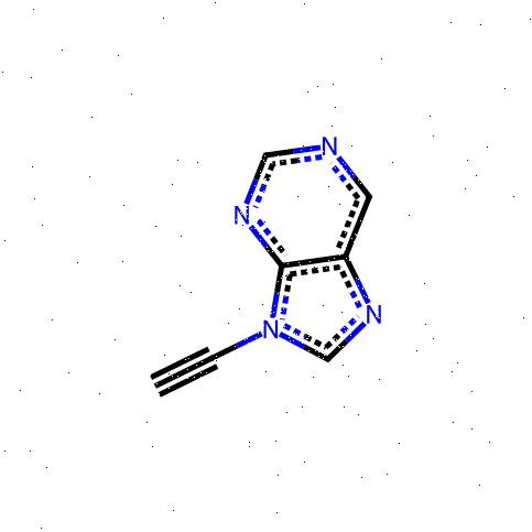 C#Cn1cnc2cncnc21